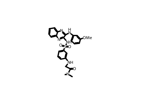 COc1cccc(Nc2nc3ccccc3nc2NS(=O)(=O)c2cccc(NCC(=O)N(C)C)c2)c1